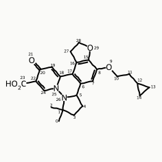 CC1(C)CCC2c3cc(OCCC4CC4)c4c(c3-c3cc(=O)c(C(=O)O)cn3N21)CCO4